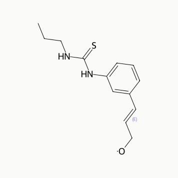 CCCNC(=S)Nc1cccc(/C=C/C[O])c1